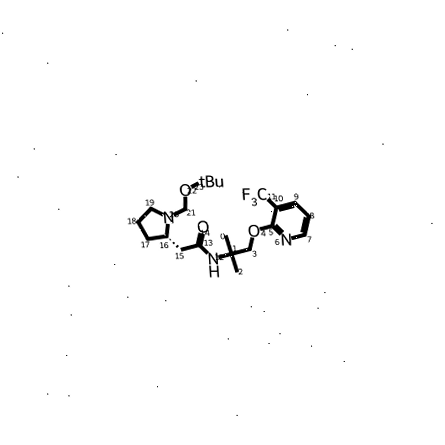 CC(C)(COc1ncccc1C(F)(F)F)NC(=O)C[C@@H]1CCCN1COC(C)(C)C